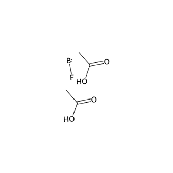 CC(=O)O.CC(=O)O.[B]F